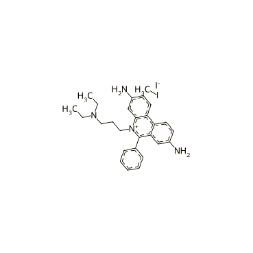 CCN(CC)CCC[n+]1c(-c2ccccc2)c2cc(N)ccc2c2ccc(N)cc21.CI.[I-]